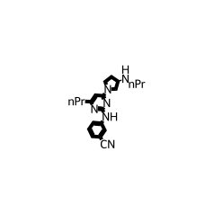 CCCN[C@H]1CCN(c2cc(CCC)nc(Nc3cccc(C#N)c3)n2)C1